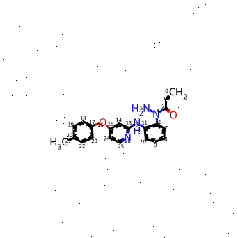 C=CC(=O)N(N)c1ccccc1Nc1cc(Oc2ccc(C)cc2)ccn1